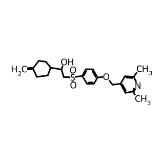 C=C1CCC(C(O)CS(=O)(=O)c2ccc(OCc3cc(C)nc(C)c3)cc2)CC1